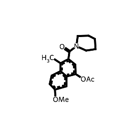 COc1ccc2c(C)c(C(=O)N3CCCCC3)cc(OC(C)=O)c2c1